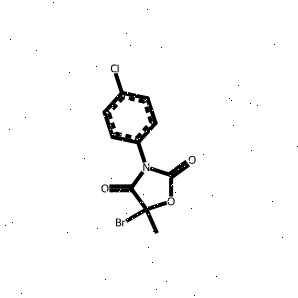 CC1(Br)OC(=O)N(c2ccc(Cl)cc2)C1=O